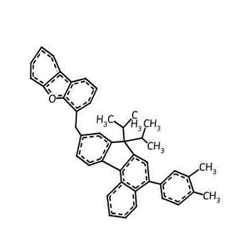 Cc1ccc(-c2cc3c(c4ccccc24)-c2ccc(Cc4cccc5c4oc4ccccc45)cc2C3(C(C)C)C(C)C)cc1C